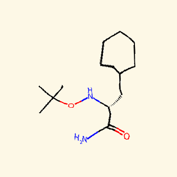 CC(C)(C)ON[C@H](CC1CCCCC1)C(N)=O